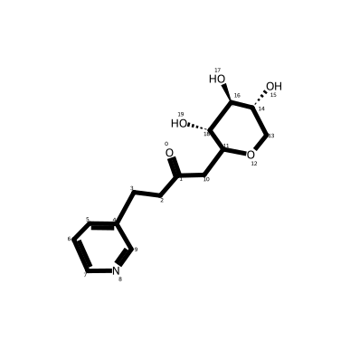 O=C(CCc1cccnc1)CC1OC[C@@H](O)[C@H](O)[C@H]1O